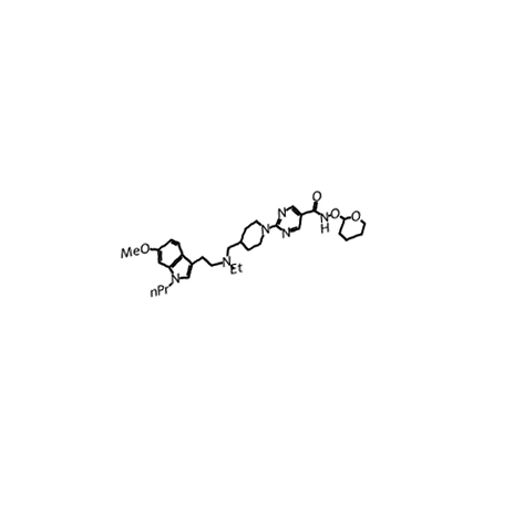 CCCn1cc(CCN(CC)CC2CCN(c3ncc(C(=O)NOC4CCCCO4)cn3)CC2)c2ccc(OC)cc21